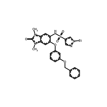 CCn1cc(S(=O)(=O)Nc2cc3c(cc2Oc2cccc(OCc4ccccc4)c2)n(C)c(=O)n3C)cn1